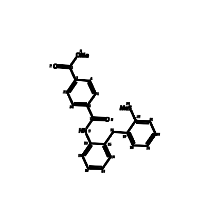 COC(=O)c1ccc(C(=O)Nc2ccccc2Cc2ccccc2SC)cc1